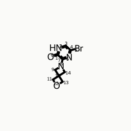 O=c1[nH]cc(Br)nc1N1CC2(COC2)C1